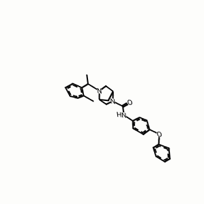 Cc1ccccc1C(C)N1CC2CC1CN2C(=O)Nc1ccc(Oc2ccccc2)cc1